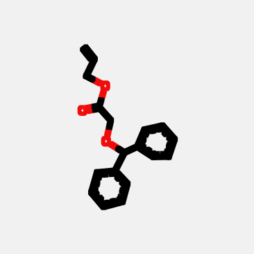 C=CCOC(=O)COC(c1ccccc1)c1ccccc1